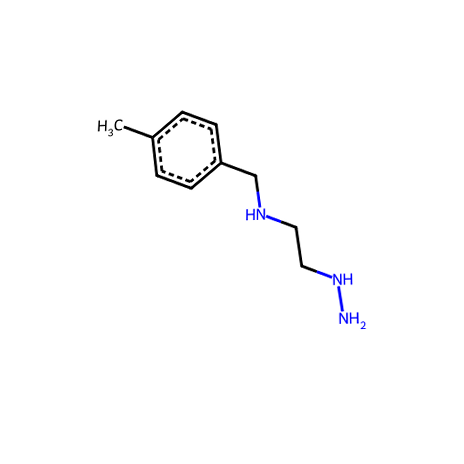 Cc1ccc(CNCCNN)cc1